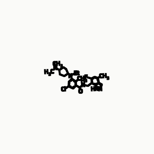 CCN(c1cc(Cl)cc(C(=O)NCc2c(F)cc(C)c3cn[nH]c23)c1C)[C@H]1CC[C@H](N(C)C)CC1